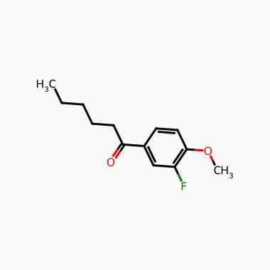 CCCCCC(=O)c1ccc(OC)c(F)c1